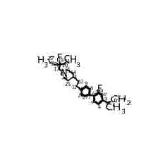 C=C(C)c1ccc(-c2ccc(CCC3CCN(CC(F)(CC)CC)CC3)cc2)c(F)c1